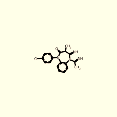 CC(=N)N1C(=N)C(C)C(=O)N(c2ccc(Cl)cc2)c2ccccc21